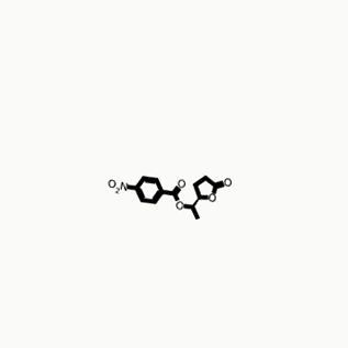 CC(OC(=O)c1ccc([N+](=O)[O-])cc1)[C@H]1CCC(=O)O1